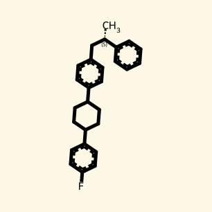 C[C@@H](Cc1ccc(C2CCC(c3ccc(F)cc3)CC2)cc1)c1ccccc1